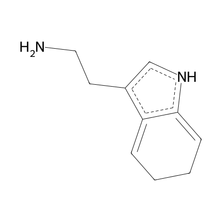 NCCc1c[nH]c2c1=CCCC=2